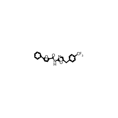 O=C(Nc1ncc(Cc2ccc(C(F)(F)F)cc2)o1)c1ccc(-c2ccccc2)o1